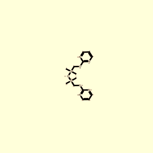 C[Si](C)(COc1ncccn1)O[Si](C)(C)CSc1ncccn1